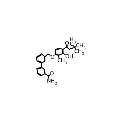 Cc1c(OCc2cccc(-c3cccc(C(N)=O)c3)c2)ccc(C(=O)CC(C)(C)C)c1O